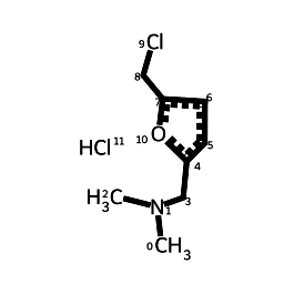 CN(C)Cc1ccc(CCl)o1.Cl